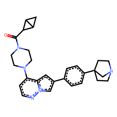 O=C(C1C2CC21)N1CCN(c2ccnn3cc(-c4ccc(C56CCN(CC5)C6)cc4)cc23)CC1